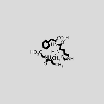 C/C=C(\C)C(=O)NCC(=O)O.N[C@@H](Cc1c[nH]cn1)C(=O)N[C@@H](Cc1ccccc1)C(=O)O